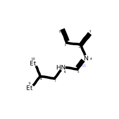 C=CC(=C)/N=C\NCC(CC)CC